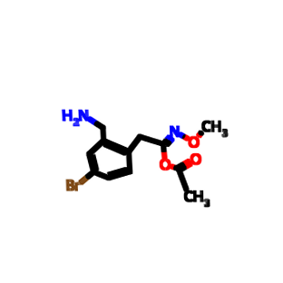 CON=C(Cc1ccc(Br)cc1CN)OC(C)=O